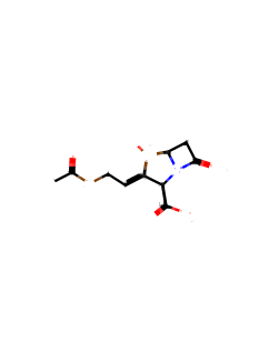 CC(=O)SC/C=C1/C(C(=O)O)N2C(=O)CC2[S+]1[O-]